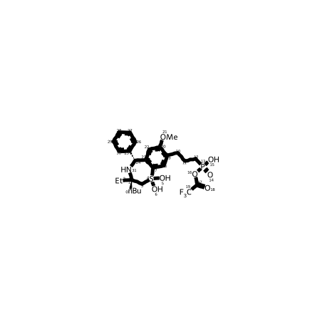 CCCC[C@]1(CC)CS(O)(O)c2cc(CCCP(=O)(O)OC(=O)C(F)(F)F)c(OC)cc2[C@@H](c2ccccc2)N1